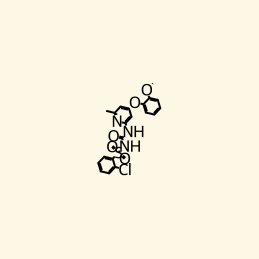 COc1ccccc1Oc1cc(C)nc(NC(=O)NS(=O)(=O)c2ccccc2Cl)c1